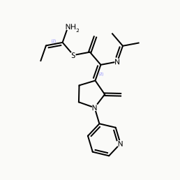 C=C(S/C(N)=C\C)/C(N=C(C)C)=C1\CCN(c2cccnc2)C1=C